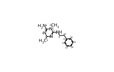 CC1N=C(N)N(C)C(NCCc2ccccc2)=N1